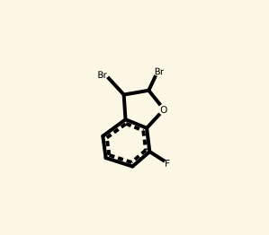 Fc1cccc2c1OC(Br)C2Br